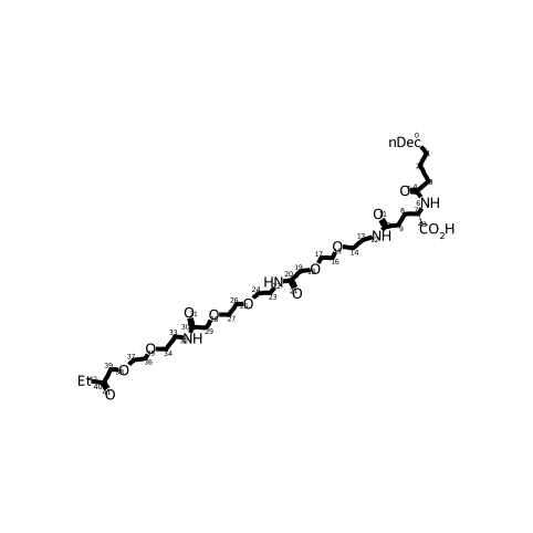 CCCCCCCCCCCCCC(=O)N[C@@H](CCC(=O)NCCOCCOCC(=O)NCCOCCOCC(=O)NCCOCCOCC(=O)CC)C(=O)O